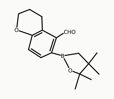 CC1(C)CB(c2ccc3c(c2C=O)CCCO3)OC1(C)C